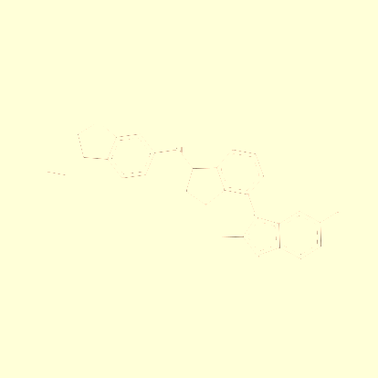 Cc1nc2ccc(F)cc2n1-c1cccc2c1CCC2Nc1ccc2c(c1)OC[C@H]2CO